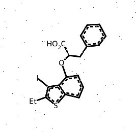 CCc1sc2cccc(O[C@H](Cc3ccccc3)C(=O)O)c2c1I